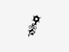 Cn1cnc(S(=O)(=O)OCc2ccccc2)c1